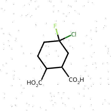 O=C(O)C1CCC(F)(Cl)CC1C(=O)O